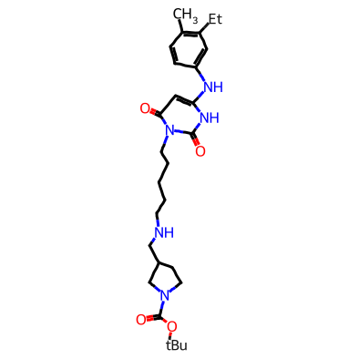 CCc1cc(Nc2cc(=O)n(CCCCCNCC3CCN(C(=O)OC(C)(C)C)C3)c(=O)[nH]2)ccc1C